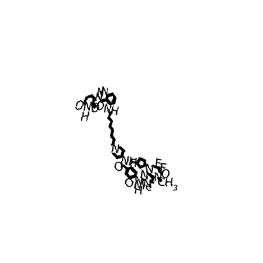 COc1cc(C(=O)NC2CCN(CCCCCCCCNc3cccc4nnn(C5CCC(=O)NC5=O)c(=O)c34)CC2)c(F)cc1Nc1ncc2c(n1)N(C1CCCC1)CC(F)(F)C(=O)N2C